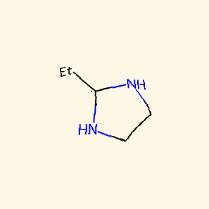 CC[C]1NCCN1